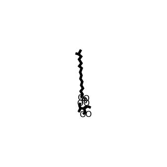 CC1=C2C(=O)OCC2COP(=O)(OCCCCCCCCCCCCCC(C)C)O1